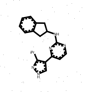 CC(C)c1n[nH]cc1-c1ccnc(NC2Cc3ccccc3C2)n1